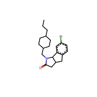 CCCC1CCC(CN2C(=O)CC3Cc4ccc(Br)cc4C32)CC1